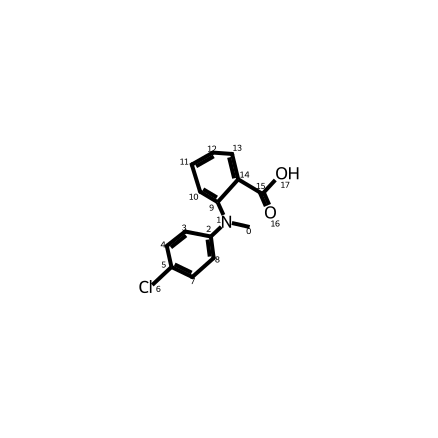 CN(c1ccc(Cl)cc1)c1ccccc1C(=O)O